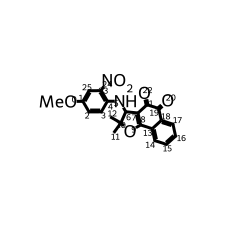 COc1ccc(NC2C3=C(OC2(C)C)c2ccccc2C(=O)C3=O)c([N+](=O)[O-])c1